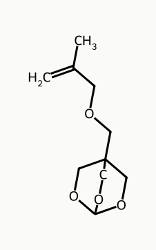 C=C(C)COCC12COC(OC1)OC2